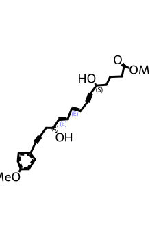 COC(=O)CCC[C@H](O)C#C/C=C/C=C/[C@H](O)CC#Cc1ccc(OC)cc1